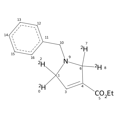 [2H]C1([2H])C=C(C(=O)OCC)C([2H])([2H])N1Cc1ccccc1